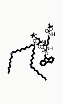 CCCCCCCC/C=C\CCCCCCCCC(CCCCCCC/C=C\CCCCCCCC)OC(=O)C(CC(=O)OC(C)(C)C)NC(=O)C(CCCCNC(=O)OC(C)(C)C)NC(=O)OCC1c2ccccc2-c2ccccc21